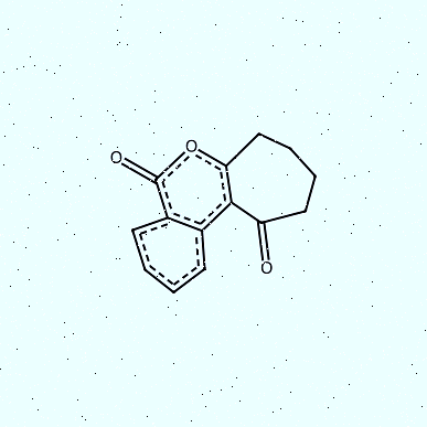 O=C1CCCCc2oc(=O)c3ccccc3c21